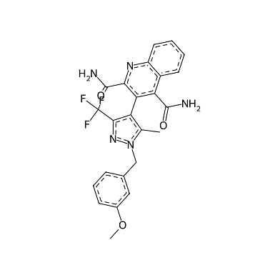 COc1cccc(Cn2nc(C(F)(F)F)c(-c3c(C(N)=O)nc4ccccc4c3C(N)=O)c2C)c1